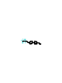 CCC[C@H]1CC[C@H](C2CCC(CCC(F)(F)C(F)(F)C(F)(F)F)CC2)CC1